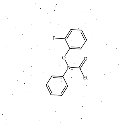 CCC(=O)N(Oc1ccccc1F)c1ccccc1